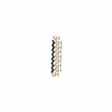 SCC(S)CC(S)CC(S)CC(S)CC(S)CC(S)CC(S)CS